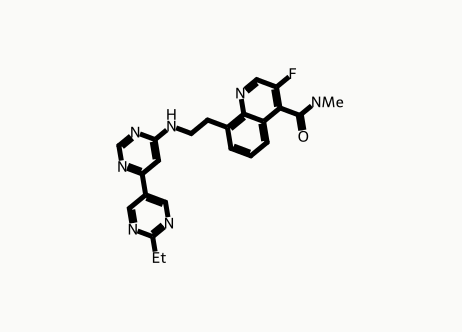 CCc1ncc(-c2cc(NCCc3cccc4c(C(=O)NC)c(F)cnc34)ncn2)cn1